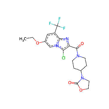 CCOc1cc(C(F)(F)F)c2nc(C(=O)N3CCC(N4CCOC4=O)CC3)c(Cl)n2c1